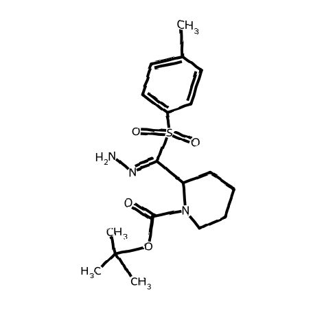 Cc1ccc(S(=O)(=O)C(=NN)C2CCCCN2C(=O)OC(C)(C)C)cc1